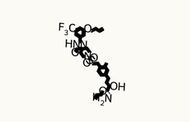 C=CCCOc1cc(C2=NC3(CCN(S(=O)(=O)CCc4ccc(CC[C@H](O)[C@H](CN)OCC=C)cc4C)CC3)C(=O)N2)cc(C(F)(F)F)c1